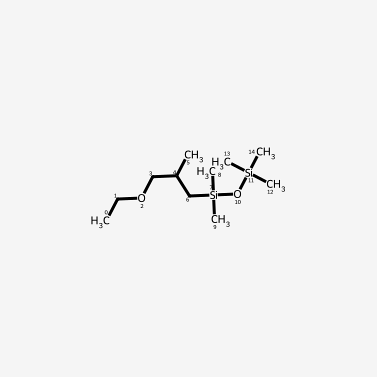 CCOCC(C)C[Si](C)(C)O[Si](C)(C)C